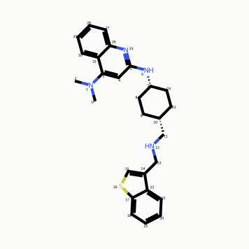 CN(C)c1cc(N[C@H]2CC[C@@H](CNCc3csc4ccccc34)CC2)nc2ccccc12